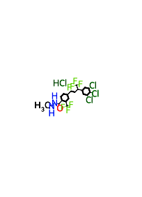 CNNC(=O)c1ccc(C(F)=CC(c2cc(Cl)c(Cl)c(Cl)c2)C(F)(F)F)cc1C(F)(F)F.Cl